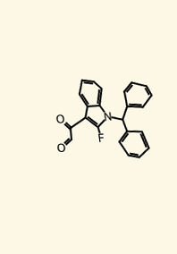 O=CC(=O)c1c(F)n(C(c2ccccc2)c2ccccc2)c2ccccc12